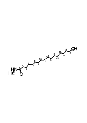 [CH]NC(=O)CCCCCCCCCCCCCCCCC